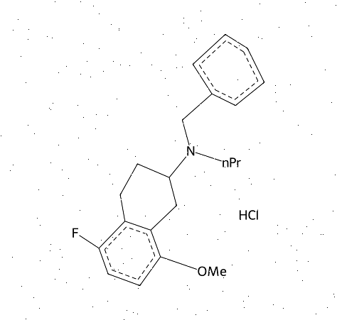 CCCN(Cc1ccccc1)C1CCc2c(F)ccc(OC)c2C1.Cl